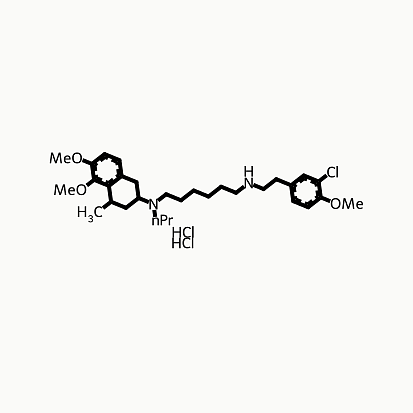 CCCN(CCCCCCNCCc1ccc(OC)c(Cl)c1)C1Cc2ccc(OC)c(OC)c2C(C)C1.Cl.Cl